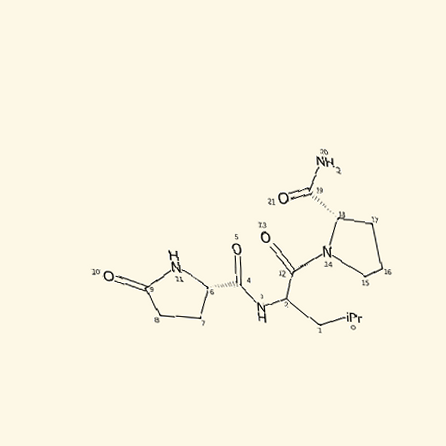 CC(C)CC(NC(=O)[C@@H]1CCC(=O)N1)C(=O)N1CCC[C@H]1C(N)=O